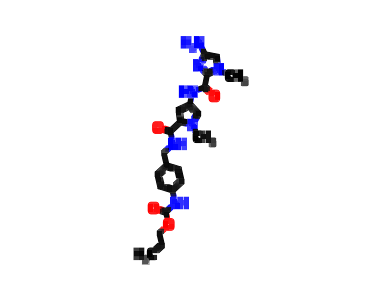 C=CCOC(=O)Nc1ccc(CNC(=O)c2cc(NC(=O)c3nc(N)cn3C)cn2C)cc1